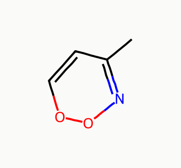 CC1=NOOC=C1